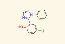 Oc1ccc(Cl)cc1-c1nccn1-c1ccccc1